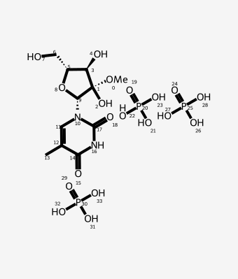 CO[C@@]1(O)[C@H](O)[C@@H](CO)O[C@H]1n1cc(C)c(=O)[nH]c1=O.O=P(O)(O)O.O=P(O)(O)O.O=P(O)(O)O